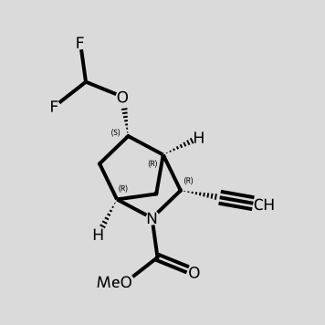 C#C[C@H]1[C@H]2C[C@H](C[C@@H]2OC(F)F)N1C(=O)OC